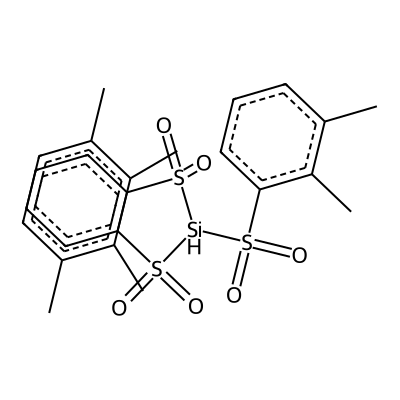 Cc1cccc(S(=O)(=O)[SiH](S(=O)(=O)c2cccc(C)c2C)S(=O)(=O)c2cccc(C)c2C)c1C